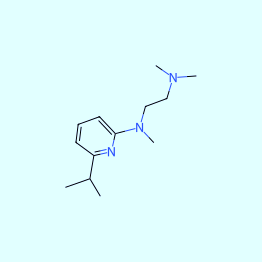 CC(C)c1cccc(N(C)CCN(C)C)n1